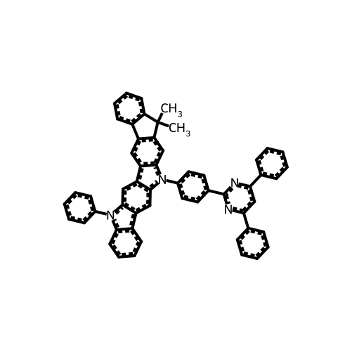 CC1(C)c2ccccc2-c2cc3c4cc5c(cc4n(-c4ccc(-c6nc(-c7ccccc7)cc(-c7ccccc7)n6)cc4)c3cc21)c1ccccc1n5-c1ccccc1